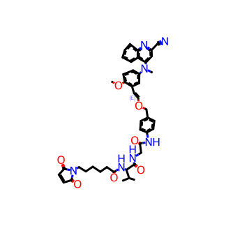 COc1ccc(N(C)c2cc(C#N)nc3ccccc23)cc1/C=C/OCc1ccc(NC(=O)CNC(=O)C(NC(=O)CCCCCN2C(=O)C=CC2=O)C(C)C)cc1